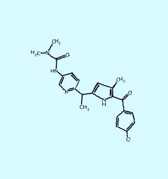 Cc1cc(C(C)c2ccc(NC(=O)N(C)C)cn2)[nH]c1C(=O)c1ccc(Cl)cc1